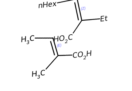 C/C=C(\C)C(=O)O.CCCCCC/C=C(/CC)C(=O)O